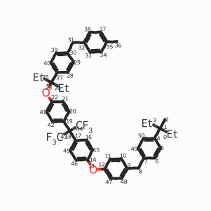 CCC(C)(CC)c1ccc(Cc2ccc(Oc3ccc(C(c4ccc(OC(CC)(CC)c5ccc(Cc6ccc(C)cc6)cc5)cc4)(C(F)(F)F)C(F)(F)F)cc3)cc2)cc1